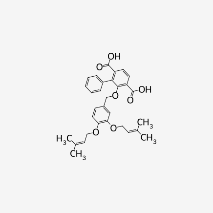 CC(C)=CCOc1ccc(COc2c(C(=O)O)ccc(C(=O)O)c2-c2ccccc2)cc1OCC=C(C)C